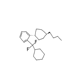 CCCC[C@H]1CC[C@H](c2ccccc2C(F)(F)C2CCCCC2)CC1